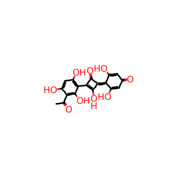 CC(=O)c1c(O)cc(O)c(C2=C(O)C(=C3C(O)=CC(=O)C=C3O)C2=O)c1O